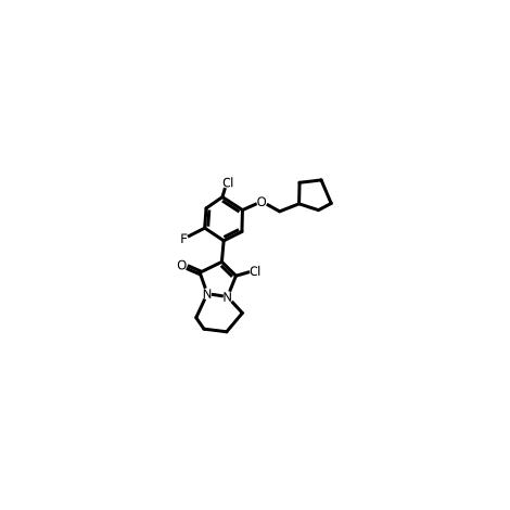 O=c1c(-c2cc(OCC3CCCC3)c(Cl)cc2F)c(Cl)n2n1CCCC2